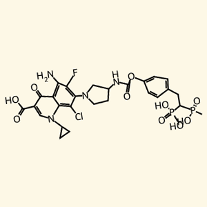 CP(=O)(O)C(Cc1ccc(OC(=O)NC2CCN(c3c(F)c(N)c4c(=O)c(C(=O)O)cn(C5CC5)c4c3Cl)C2)cc1)P(=O)(O)O